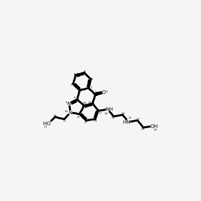 O=C1c2ccccc2-c2nn(CCO)c3ccc(NCCNCCO)c1c23